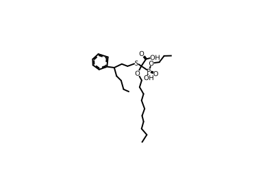 CCCCCCCCCCOC(SCCC(CCCC)c1ccccc1)(C(=O)O)P(=O)(O)OCCC